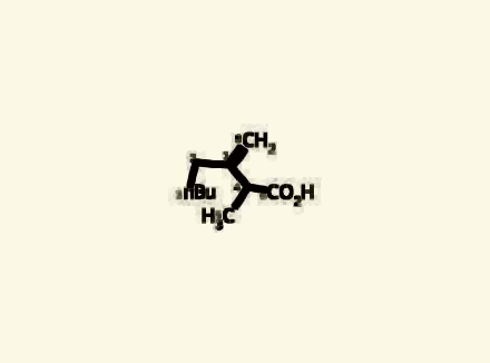 C=C(CCCCC)C(C)C(=O)O